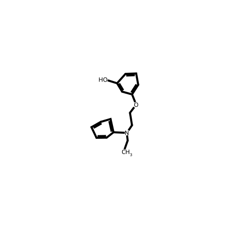 CCN(CCOc1cccc(O)c1)c1ccccc1